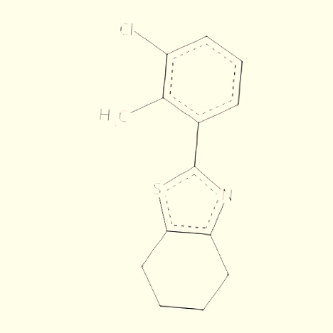 Cc1c(Cl)cccc1-c1nc2c(s1)CCCC2